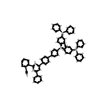 N#Cc1ccccc1-c1nc(-c2ccccc2)cc(-c2ccc(-c3ccc(-n4c5ccc(N(c6ccccc6)c6ccccc6)cc5c5cc(N(c6ccccc6)c6ccccc6)ccc54)cc3)cc2)n1